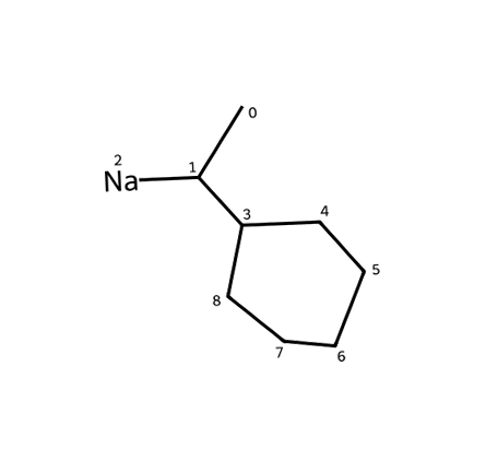 C[CH]([Na])C1CCCCC1